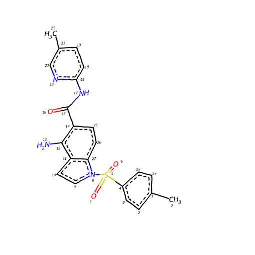 Cc1ccc(S(=O)(=O)n2ccc3c(N)c(C(=O)Nc4ccc(C)cn4)ccc32)cc1